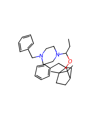 CCC(OC1(Cc2ccccc2)CC2CCC1(C)C2(C)C)N1CCN(Cc2ccccc2)CC1